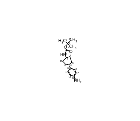 CC(C)(C)OC(=O)N[C@H]1CC[C@@H](c2ccc(N)cc2)CC1